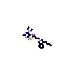 CCCCCCCN(CCCC(=O)Nc1c(SC)nc(C)nc1N(CC)CC)Cc1ccccc1